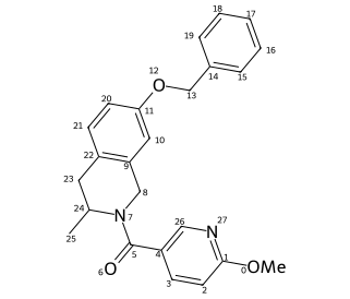 COc1ccc(C(=O)N2Cc3cc(OCc4ccccc4)ccc3CC2C)cn1